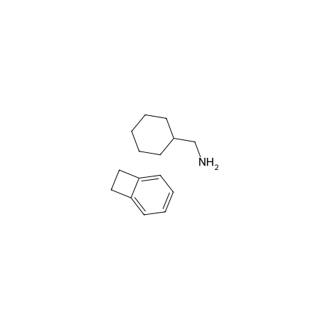 NCC1CCCCC1.c1ccc2c(c1)CC2